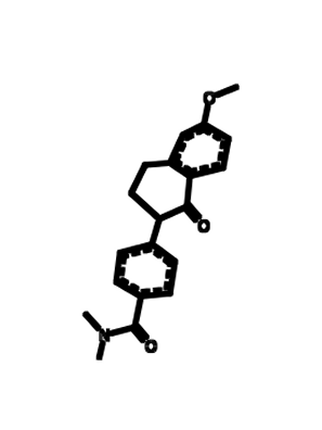 COc1ccc2c(c1)CCC(c1ccc(C(=O)N(C)C)cc1)C2=O